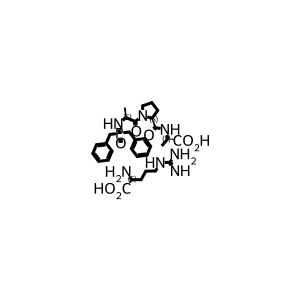 C[C@H](NC(=O)[C@@H]1CCCN1C(=O)[C@H](C)NP(=O)(Cc1ccccc1)Cc1ccccc1)C(=O)O.N=C(N)NCCC[C@H](N)C(=O)O